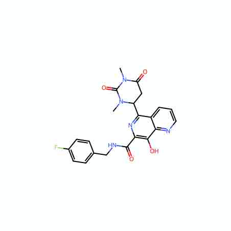 CN1C(=O)CC(c2nc(C(=O)NCc3ccc(F)cc3)c(O)c3ncccc23)N(C)C1=O